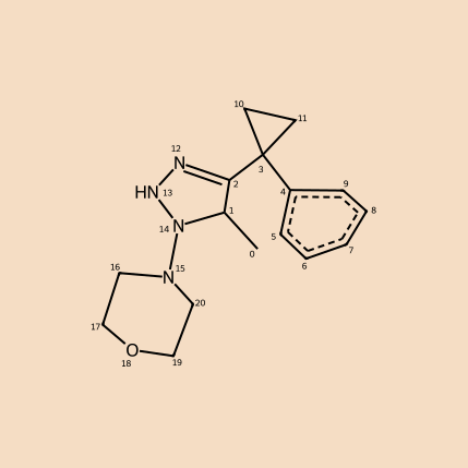 CC1C(C2(c3ccccc3)CC2)=NNN1N1CCOCC1